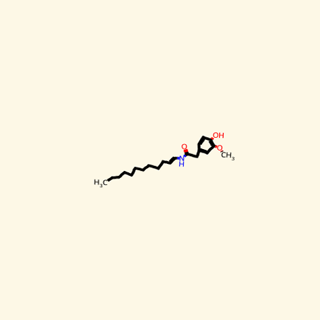 CCCCCCCCCC/C=C/NC(=O)Cc1ccc(O)c(OC)c1